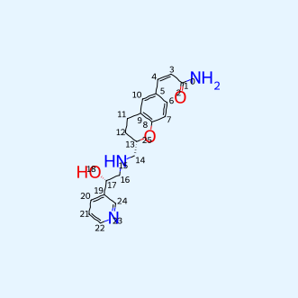 NC(=O)/C=C\c1ccc2c(c1)CC[C@@H](CNC[C@@H](O)c1cccnc1)O2